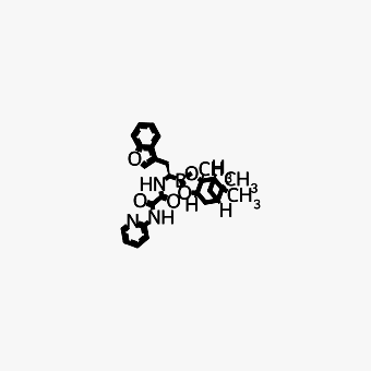 CC1(C)[C@@H]2C[C@H]3OB([C@H](Cc4coc5ccccc45)NC(=O)C(=O)Nc4ccccn4)O[C@@]3(C)[C@H]1C2